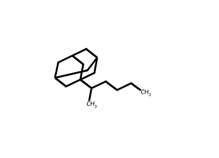 CCCC[C](C)C12CC3CC(CC(C3)C1)C2